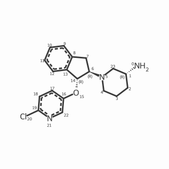 N[C@@H]1CCCN([C@@H]2Cc3ccccc3[C@H]2Oc2ccc(Cl)nc2)C1